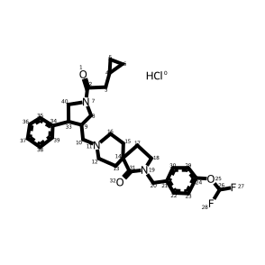 Cl.O=C(CC1CC1)N1CC(CN2CCC3(CC2)CCN(Cc2ccc(OC(F)F)cc2)C3=O)C(c2ccccc2)C1